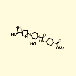 COC(=O)[C@H]1CC[C@H](NC(=O)N2CCN(c3ccc(C(=N)N)cn3)CC2)CC1.Cl